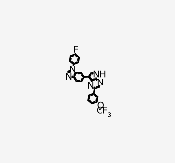 Fc1ccc(-n2cnc3ccc(-c4c[nH]c5ncc(-c6cccc(OC(F)(F)F)c6)nc45)cc32)cc1